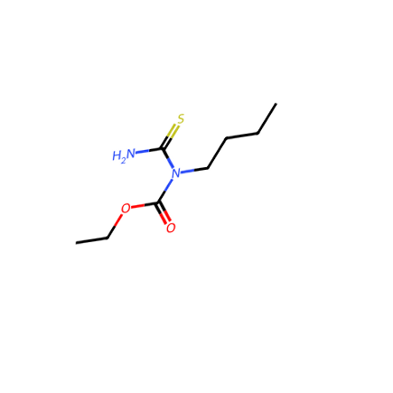 CCCCN(C(=O)OCC)C(N)=S